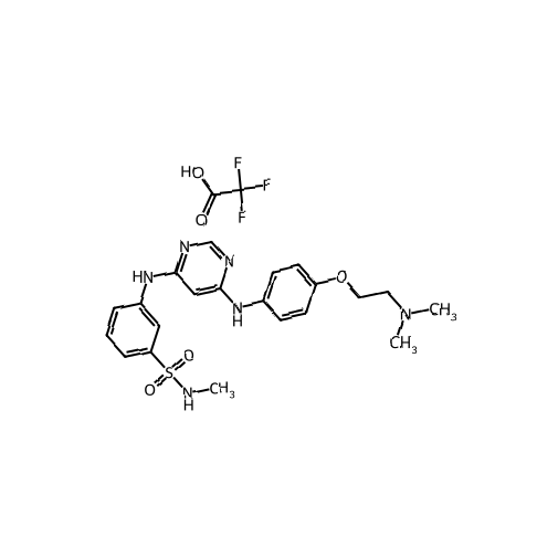 CNS(=O)(=O)c1cccc(Nc2cc(Nc3ccc(OCCN(C)C)cc3)ncn2)c1.O=C(O)C(F)(F)F